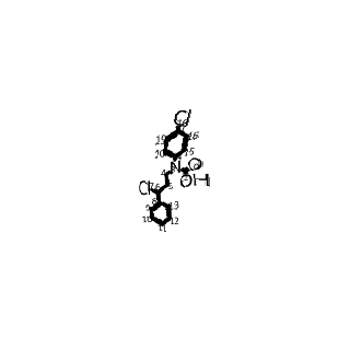 O=C(O)N(CCC(Cl)c1ccccc1)c1ccc(Cl)cc1